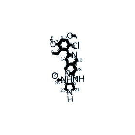 CCc1c(OC)cc(OC)c(Cl)c1-c1cc2cnc(NC3CNCC3NC=O)cc2cn1